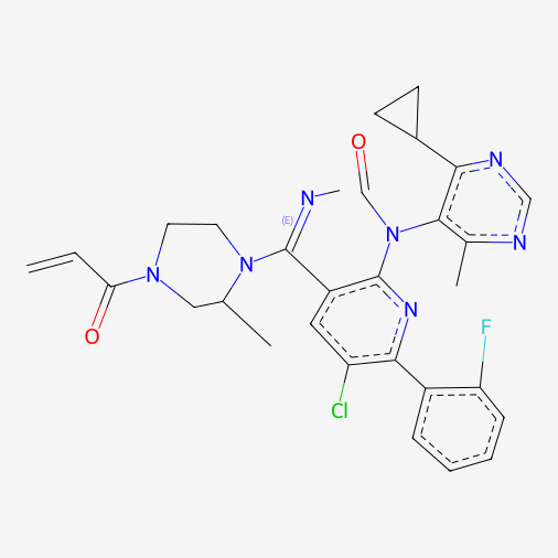 C=CC(=O)N1CCN(/C(=N/C)c2cc(Cl)c(-c3ccccc3F)nc2N(C=O)c2c(C)ncnc2C2CC2)C(C)C1